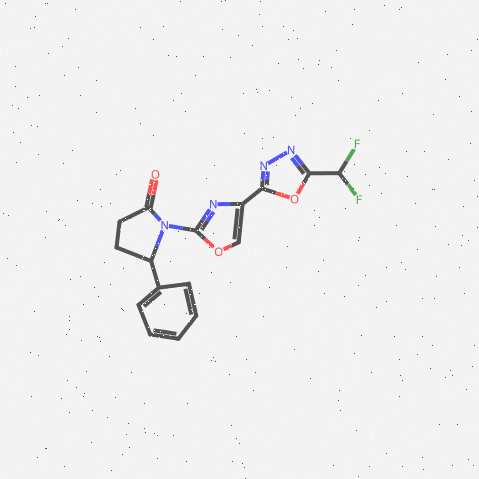 O=C1CCC(c2ccccc2)N1c1nc(-c2nnc(C(F)F)o2)co1